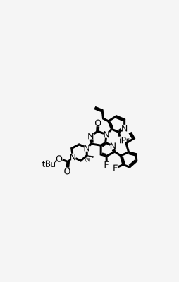 C=CCc1cccc(F)c1-c1nc2c(cc1F)c(N1CCN(C(=O)OC(C)(C)C)C[C@@H]1C)nc(=O)n2-c1c(CC=C)ccnc1C(C)C